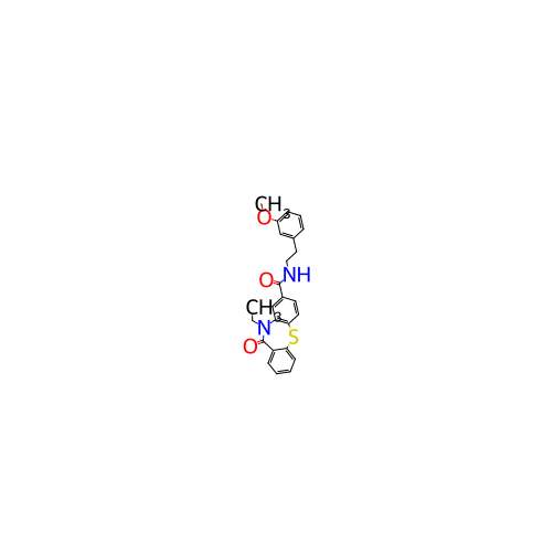 CCN1C(=O)c2ccccc2Sc2ccc(C(=O)NCCc3cccc(OC)c3)cc21